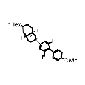 CCCCCCC1CC[C@@H]2C[C@H](c3cc(F)c(-c4ccc(OC)cc4)c(F)c3)CC[C@@H]2C1